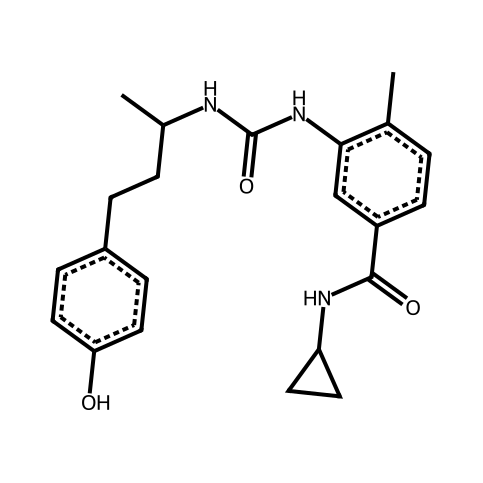 Cc1ccc(C(=O)NC2CC2)cc1NC(=O)NC(C)CCc1ccc(O)cc1